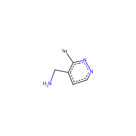 [2H]c1nnccc1CN